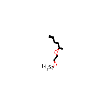 C=CCCC(C)OCCO[SiH3]